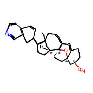 CC12CC=C3C=C4CC[C@@H](O)C[C@]45CC[C@]3(O5)[C@@H]1CCC2C1C=Cc2ccncc2C1